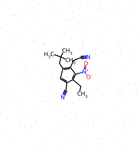 CCc1c(C#N)cc(CC(C)(C)C)c(CC#N)c1[N+](=O)[O-]